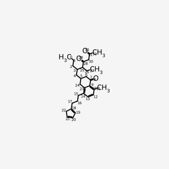 CCCC(CC1CC(=O)c2c(C)ccc(CCCC3=CC=CC3)c2C1)C(CC)C(=O)CC(C)=O